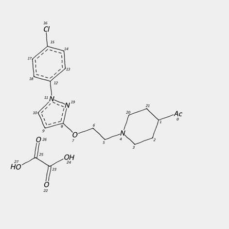 CC(=O)C1CCN(CCOc2ccn(-c3ccc(Cl)cc3)n2)CC1.O=C(O)C(=O)O